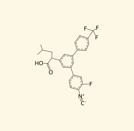 [C-]#[N+]c1ccc(-c2cc(-c3ccc(C(F)(F)F)cc3)cc(C(CC(C)C)C(=O)O)c2)cc1F